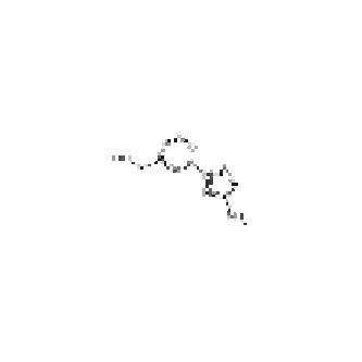 Nc1cnn(-c2cccc(CO)c2)n1